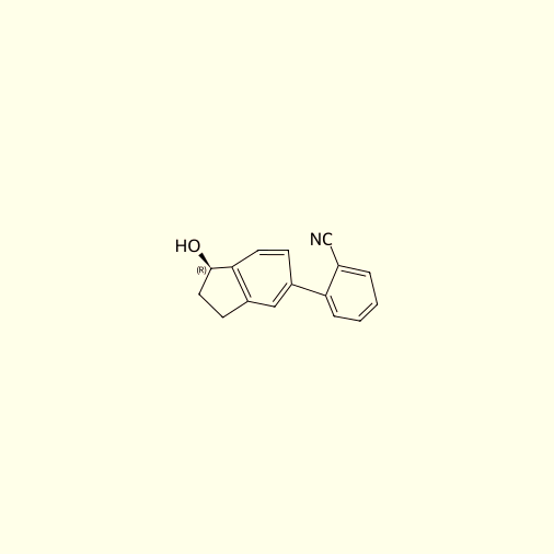 N#Cc1ccccc1-c1ccc2c(c1)CC[C@H]2O